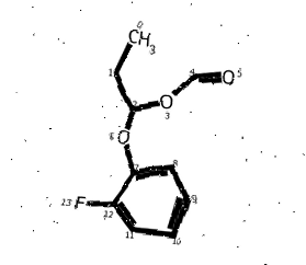 CCC(O[C]=O)Oc1ccccc1F